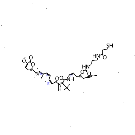 CC#CC[C@@H](C/C=C\NC(=O)[C@@H](NC(=O)\C=C/C=C\C(C)=C\[C@H](C)[C@@H]1CC=C(OC)C(=O)O1)C(C)(C)C)OC(=O)NCCCNC(=O)CCS